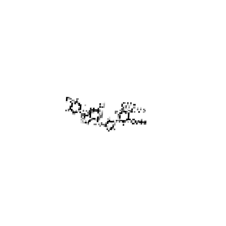 COc1cc(-n2cnc(Nc3nc(Cl)nc4c3cnn4-c3ccc(F)cc3)c2)cc(OC)c1OC